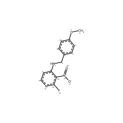 COc1ccc(CNc2ccnc(F)c2[N+](=O)[O-])cc1